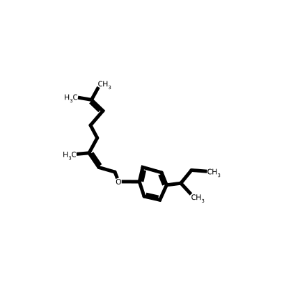 CCC(C)c1ccc(OCC=C(C)CCC=C(C)C)cc1